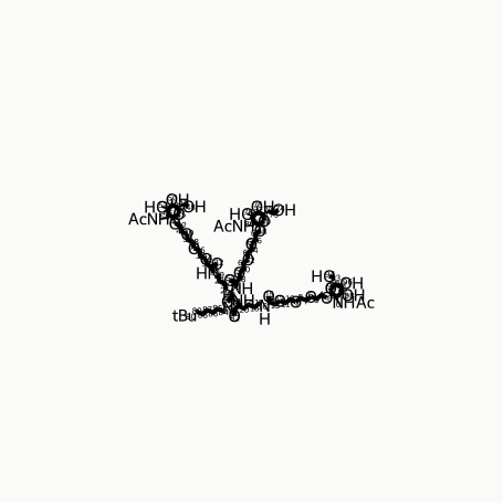 CC(=O)N[C@H]1[C@H](OCCOCCOCCOCC(=O)NCCCCC(NC(=O)[C@H](CCCCNC(=O)COCCOCCOCCO[C@@H]2O[C@H](CO)[C@H](O)[C@H](O)[C@H]2NC(C)=O)NC(=O)COCCOCCOCCO[C@@H]2O[C@H](CCO)[C@H](O)[C@H](O)[C@H]2NC(C)=O)C(=O)NCCCCCCC(C)(C)C)O[C@H](CO)[C@H](O)[C@@H]1O